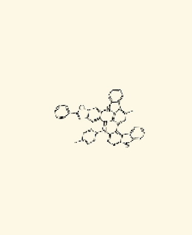 Cc1ccc(N2B3c4cc5cc(-c6ccccc6)oc5cc4-n4c5ccccc5c5c(C)cc(c3c54)-c3c2ccc2sc4ccccc4c32)cc1